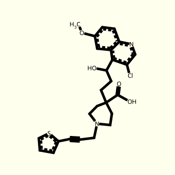 COc1ccc2ncc(Cl)c(C(O)CCC3(C(=O)O)CCN(CC#Cc4cccs4)CC3)c2c1